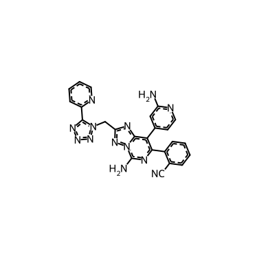 N#Cc1ccccc1-c1nc(N)n2nc(Cn3nnnc3-c3ccccn3)nc2c1-c1ccnc(N)c1